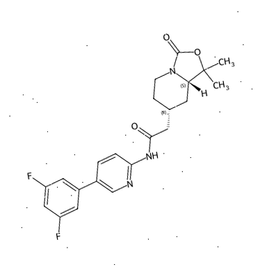 CC1(C)OC(=O)N2CC[C@@H](CC(=O)Nc3ccc(-c4cc(F)cc(F)c4)cn3)C[C@H]21